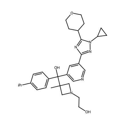 CC(C)c1ccc(C(O)(c2cncc(-c3nc(C4CCOCC4)n(C4CC4)n3)c2)C2(C)CN(CCO)C2)cc1